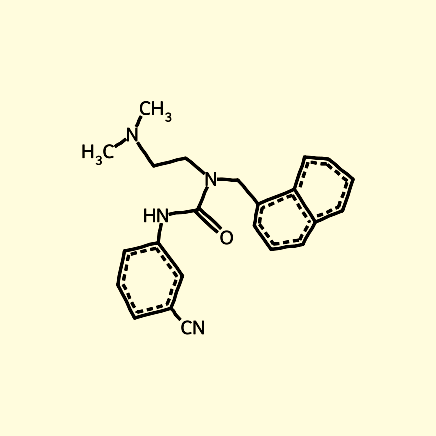 CN(C)CCN(Cc1cccc2ccccc12)C(=O)Nc1cccc(C#N)c1